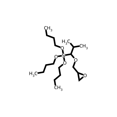 CCCCO[Si](OCCCC)(OCCCC)C(OCC1CO1)C(C)C